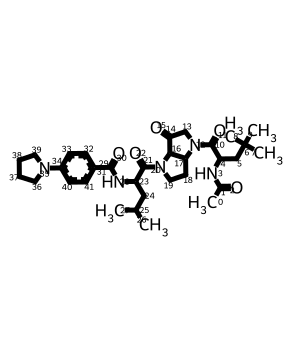 CC(=O)NC(CC(C)(C)C)C(=O)N1CC(=O)C2C1CCN2C(=O)C(CC(C)C)NC(=O)c1ccc(N2CCCC2)cc1